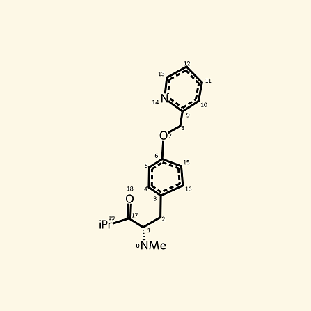 CN[C@@H](Cc1ccc(OCc2ccccn2)cc1)C(=O)C(C)C